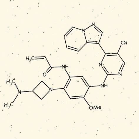 C=CC(=O)Nc1cc(Nc2ncc(C#N)c(-c3cnn4ccccc34)n2)c(OC)cc1N1CC(N(C)C)C1